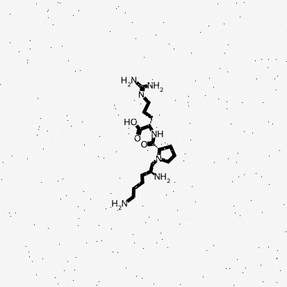 NCCCC[C@H](N)CN1CCC[C@H]1C(=O)N[C@@H](CCCN=C(N)N)C(=O)O